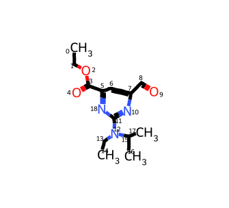 CCOC(=O)c1cc(C=O)nc(N(CC)C(C)C)n1